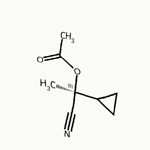 CC(=O)O[C@](C)(C#N)C1CC1